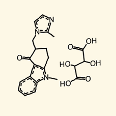 Cc1nccn1CC1CCc2c(c3ccccc3n2C)C1=O.O=C(O)C(O)C(O)C(=O)O